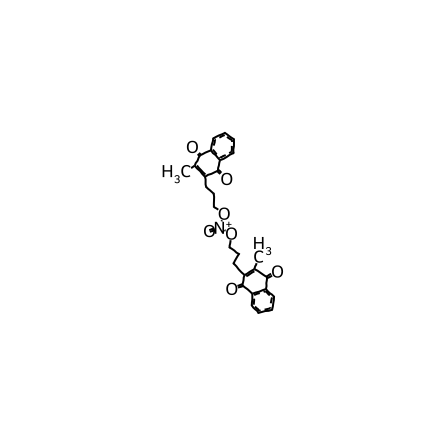 CC1=C(CCCO[N+](=O)OCCCC2=C(C)C(=O)c3ccccc3C2=O)C(=O)c2ccccc2C1=O